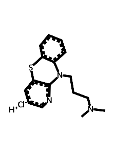 CN(C)CCCN1c2ccccc2Sc2cccnc21.[Cl-].[H+]